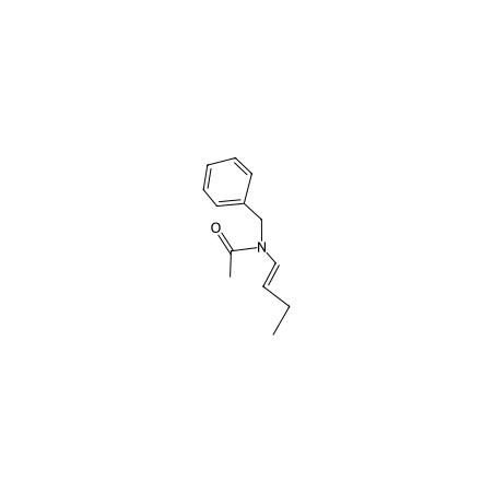 CCC=CN(Cc1ccccc1)C(C)=O